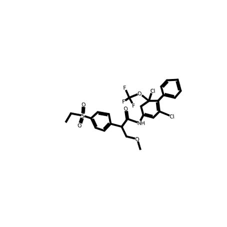 CCS(=O)(=O)c1ccc(C(COC)C(=O)NC2=CC(Cl)=C(c3ccccc3)C(Cl)(OC(F)(F)F)C2)cc1